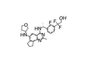 Cc1nc(N[C@H](C)c2cccc(C(F)(F)CO)c2F)c2cc(N[C@H]3CCOC3)c3c(c2n1)CCC3